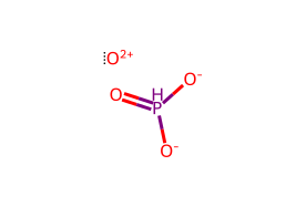 O=[PH]([O-])[O-].[O+2]